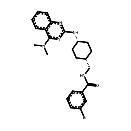 CN(C)c1nc(N[C@H]2CC[C@@H](CNC(=O)c3cccc(Br)c3)CC2)nc2ccccc12